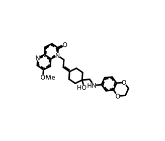 COc1cnc2ccc(=O)n(CC=C3CCC(O)(CNc4ccc5c(c4)OCCO5)CC3)c2c1